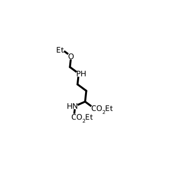 CCOCPCCC(NC(=O)OCC)C(=O)OCC